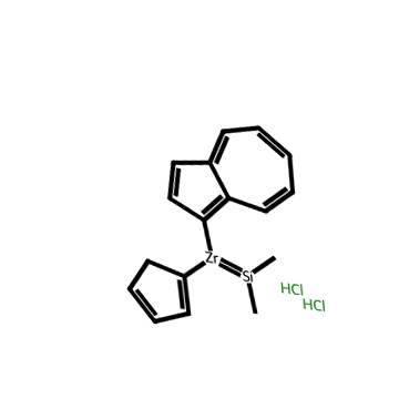 C[Si](C)=[Zr]([C]1=CC=CC1)[c]1ccc2cccccc1-2.Cl.Cl